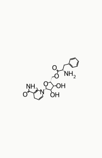 NC(=O)C1=CN([C@@H]2O[C@H](COC(=O)[C@@H](N)Cc3ccccc3)[C@@H](O)[C@H]2O)C=CC1